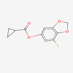 O=C(Oc1cc(F)c2c(c1)OCO2)C1CC1